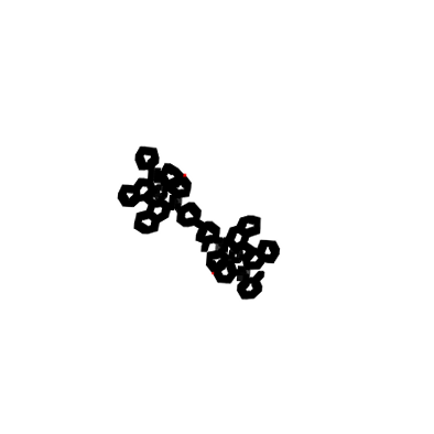 Cc1ccccc1N(c1ccccc1)c1cc2ccccc2c2c1oc1c(N(c3ccccc3)c3ccc(-c4ccc(N(c5ccccc5)c5cc6ccccc6c6c5oc5c(N(c7ccccc7)c7ccccc7)cc7ccccc7c56)cc4)cc3C)cc3ccccc3c12